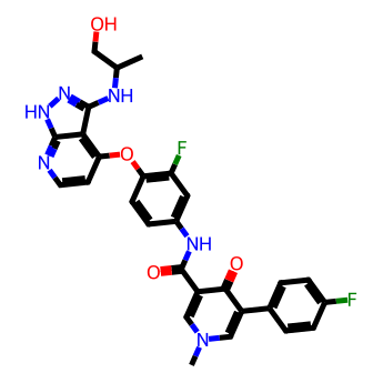 CC(CO)Nc1n[nH]c2nccc(Oc3ccc(NC(=O)c4cn(C)cc(-c5ccc(F)cc5)c4=O)cc3F)c12